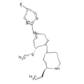 CC[C@H]1CC(C2CCN(c3ncc(F)cn3)C[C@H]2OC)CCN1